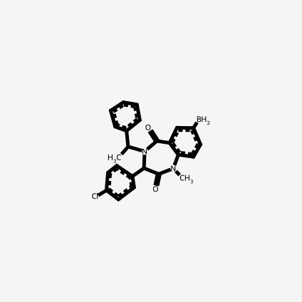 Bc1ccc2c(c1)C(=O)N(C(C)c1ccccc1)C(c1ccc(Cl)cc1)C(=O)N2C